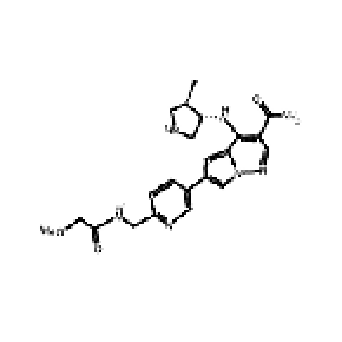 COCC(=O)NCc1ccc(-c2cc3c(N[C@@H]4CNC[C@H]4C)c(C(N)=O)cnn3c2)cn1